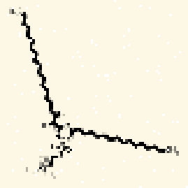 CCCCCCCCCCCCCCCCCC(=O)C(O)[C@H](COP(=O)([O-])OCC[N+](C)(C)C)OC(=O)CCCCCCCCCCCCCCC